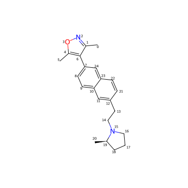 Cc1noc(C)c1-c1ccc2cc(CCN3CCC[C@H]3C)ccc2c1